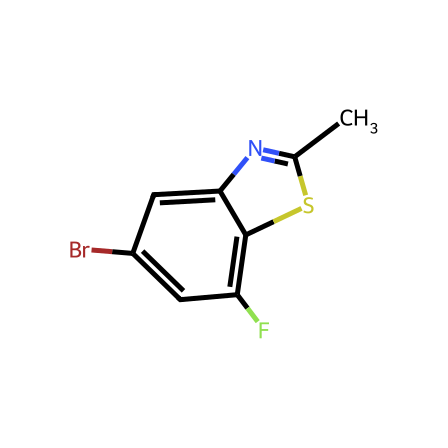 Cc1nc2cc(Br)cc(F)c2s1